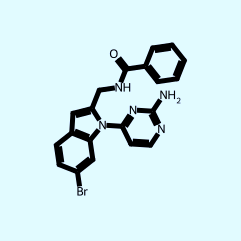 Nc1nccc(-n2c(CNC(=O)c3ccccc3)cc3ccc(Br)cc32)n1